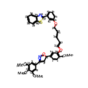 COc1ccc(C2CC(c3cc(OC)c(OC)c(OC)c3)=NO2)cc1OCCCCCOc1cccc(-c2nc3ccccc3s2)c1